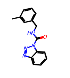 Cc1cccc(CNC(=O)n2nnc3ccccc32)c1